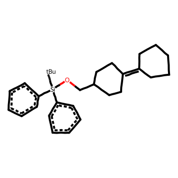 CC(C)(C)[Si](OCC1CCC(=C2CCCCC2)CC1)(c1ccccc1)c1ccccc1